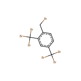 BrCc1ccc(C(Br)(Br)Br)cc1C(Br)(Br)Br